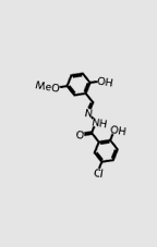 COc1ccc(O)c(C=NNC(=O)c2cc(Cl)ccc2O)c1